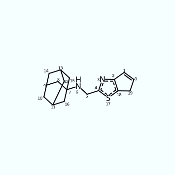 C1=Cc2nc(CNC34CC5CC(CC(C5)C3)C4)sc2C1